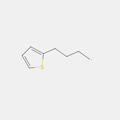 [CH2]CCCc1cccs1